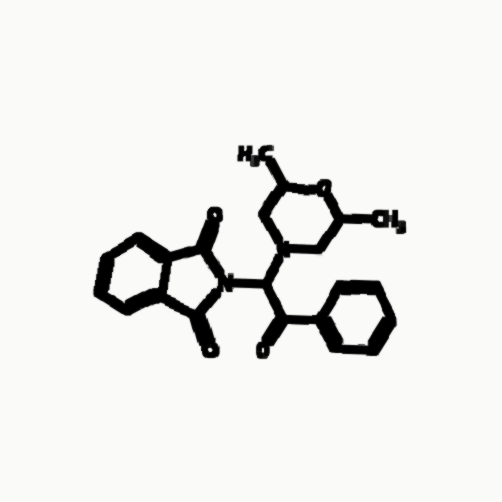 CC1CN(C(C(=O)c2ccccc2)N2C(=O)c3ccccc3C2=O)CC(C)O1